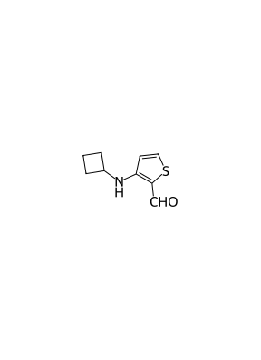 O=Cc1sccc1NC1CCC1